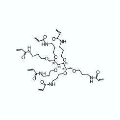 C=CC(=O)NCCCOC[C@@H](OCCCNC(=O)C=C)[C@@H](OCCCNC(=O)C=C)[C@H](OCCCNC(=O)C=C)[C@@H](COCCCNC(=O)C=C)OCCCNC(=O)C=C